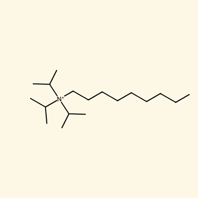 CCCCCCCCC[N+](C(C)C)(C(C)C)C(C)C